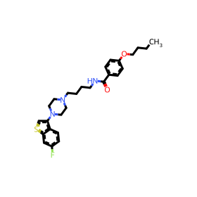 CCCCOc1ccc(C(=O)NCCCCN2CCN(c3csc4cc(F)ccc34)CC2)cc1